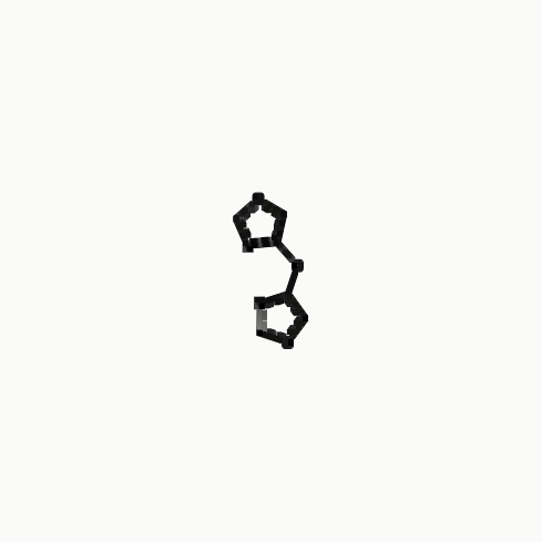 c1nc(Oc2cocn2)co1